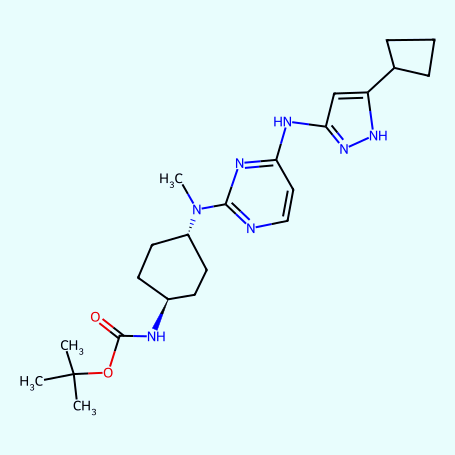 CN(c1nccc(Nc2cc(C3CCC3)[nH]n2)n1)[C@H]1CC[C@H](NC(=O)OC(C)(C)C)CC1